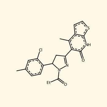 CCC(=O)N1N=C(c2c(C)c3ccsc3[nH]c2=O)CC1c1ccc(C)cc1Cl